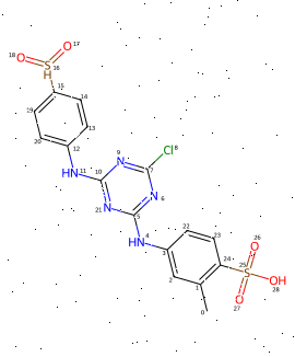 Cc1cc(Nc2nc(Cl)nc(Nc3ccc([SH](=O)=O)cc3)n2)ccc1S(=O)(=O)O